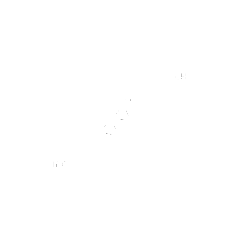 CCCCCCCCC1CCC(c2ccc(-c3ccc(C4CCC(CCCCCC)CC4)cc3)cc2)OC1